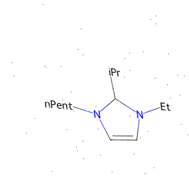 CCCCCN1C=CN(CC)C1C(C)C